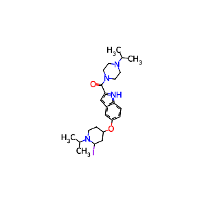 CC(C)N1CCN(C(=O)c2cc3cc(OC4CCN(C(C)C)C(I)C4)ccc3[nH]2)CC1